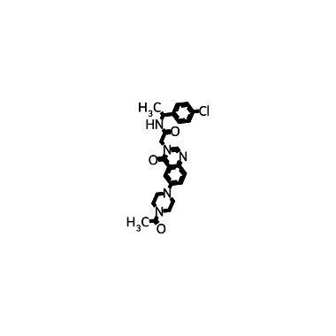 CC(=O)N1CCN(c2ccc3ncn(CC(=O)NC(C)c4ccc(Cl)cc4)c(=O)c3c2)CC1